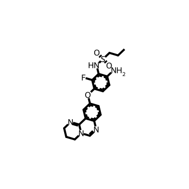 CCCS(=O)(=O)Nc1c(N)ccc(Oc2ccc3c(c2)C2=NCCCN2C=N3)c1F